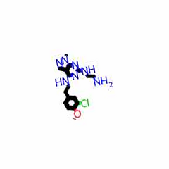 COc1ccc(CCNc2nc(NCCN)nc3c2cnn3C)cc1Cl